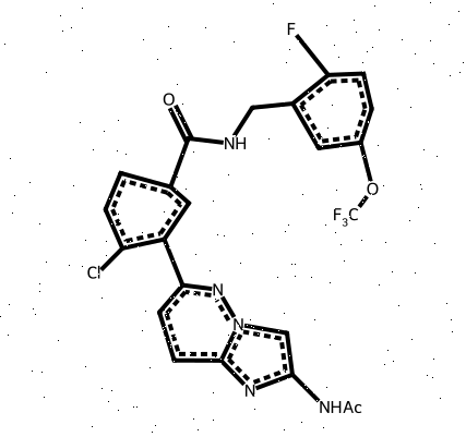 CC(=O)Nc1cn2nc(-c3cc(C(=O)NCc4cc(OC(F)(F)F)ccc4F)ccc3Cl)ccc2n1